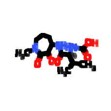 CC(C)[C@H](NC(=O)O)C(=O)NC1CCCN(C)C(=O)C1=O